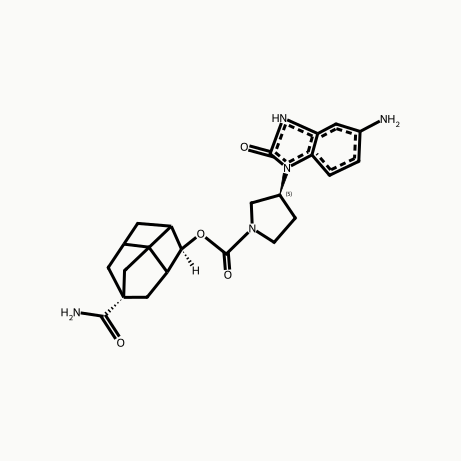 Nc1ccc2c(c1)[nH]c(=O)n2[C@H]1CCN(C(=O)O[C@H]2C3CC4CC2C[C@](C(N)=O)(C4)C3)C1